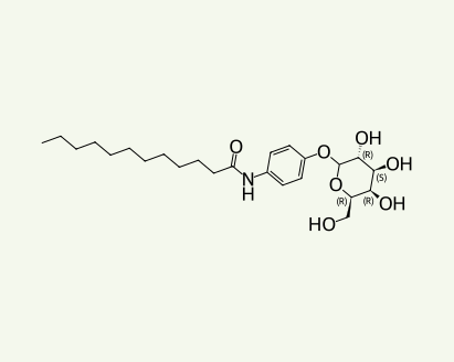 CCCCCCCCCCCC(=O)Nc1ccc(OC2O[C@H](CO)[C@H](O)[C@H](O)[C@H]2O)cc1